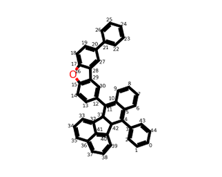 c1ccc(C2=c3ccccc3=C(c3ccc4oc5ccc(-c6ccccc6)cc5c4c3)C3c4cccc5cccc(c45)C23)cc1